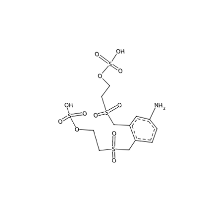 Nc1ccc(CS(=O)(=O)CCOS(=O)(=O)O)c(CS(=O)(=O)CCOS(=O)(=O)O)c1